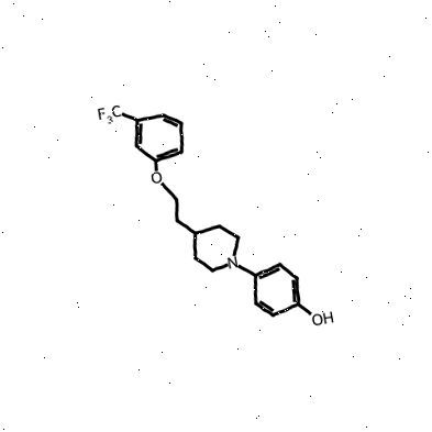 Oc1ccc(N2CCC(CCOc3cccc(C(F)(F)F)c3)CC2)cc1